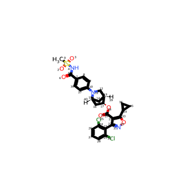 CS(=O)(=O)NC(=O)c1ccc(N2C[C@@H]3C[C@H]2C[C@H]3OC(=O)c2c(-c3c(Cl)cccc3Cl)noc2C2CC2)cc1